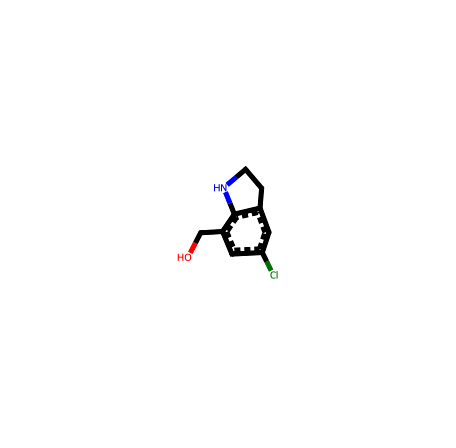 OCc1cc(Cl)cc2c1NCC2